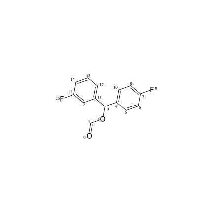 O=COC(c1ccc(F)cc1)c1cccc(F)c1